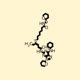 C=C/C(=C\C=C(/C)Nc1nc(NC2CCCCC2)c2ncn(C3CCCCO3)c2n1)SCCCCCCC(=O)NOC1CCCCO1